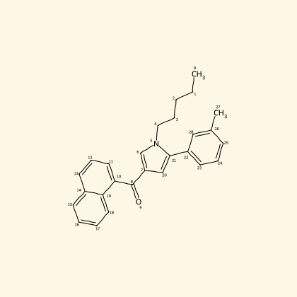 CCCCCn1cc(C(=O)c2cccc3ccccc23)cc1-c1cccc(C)c1